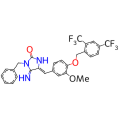 COc1cc(/C=C2\NC(=O)N(Cc3ccccc3)C2=N)ccc1OCc1ccc(C(F)(F)F)cc1C(F)(F)F